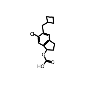 O=C(O)OC1CCc2cc(CC3CCC3)c(Cl)cc21